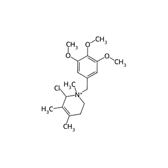 COc1cc(C[N+]2(C)CCC(C)=C(C)C2Cl)cc(OC)c1OC